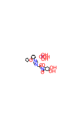 O=C(CN1CCN(c2ccccc2OC2CCCC2)CC1)CN1C(=O)C2CC(O)C(O)CC2C1=O.O=P(O)(O)O